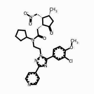 COc1ccc(-c2nc(-c3ccncc3)nn2CCN(C(=O)C[C@H]2C(=O)C[C@@H](C)[C@H]2C[N+](=O)[O-])C2CCCC2)cc1Cl